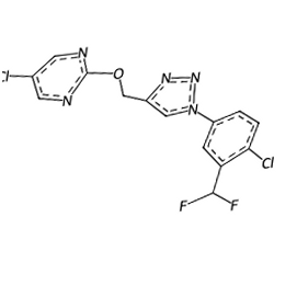 FC(F)c1cc(-n2cc(COc3ncc(Cl)cn3)nn2)ccc1Cl